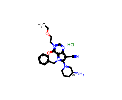 CCOCCn1cnc2c(C#N)c(N3CCC[C@H](N)C3)n(Cc3ccccc3)c2c1=O.Cl